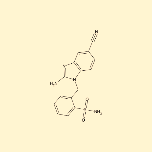 N#Cc1ccc2c(c1)nc(N)n2Cc1ccccc1S(N)(=O)=O